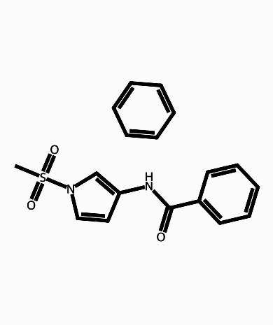 CS(=O)(=O)n1ccc(NC(=O)c2ccccc2)c1.c1ccccc1